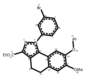 CCOC(=O)c1nn(-c2cccc(Br)c2)c2c1CCc1cc(OC)c(OC(C)C)cc1-2